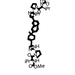 COC(=O)N[C@H](C(=O)N1CCC[C@H]1c1ncc(C2=CCC(C)(c3ccc4ccc(-c5cnc([C@@H]6CCCN6C(=O)[C@@H](NC(=O)OC)C(C)C)[nH]5)cc4c3)CC2)[nH]1)C(C)C